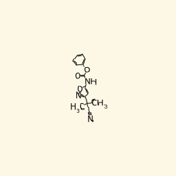 CC(C)(C#N)c1cc(NC(=O)Oc2ccccc2)on1